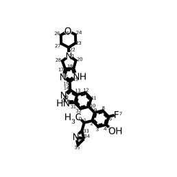 CC(c1cc(O)c(F)cc1-c1ccc2c(-c3nc4c([nH]3)CN(C3CCOCC3)C4)n[nH]c2c1)C1C2CN21